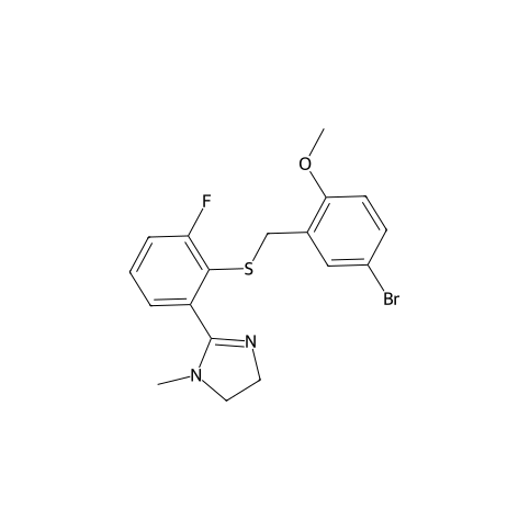 COc1ccc(Br)cc1CSc1c(F)cccc1C1=NCCN1C